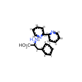 NC(Cc1ccccc1)C(=O)O.c1ccc(-c2ccccn2)nc1